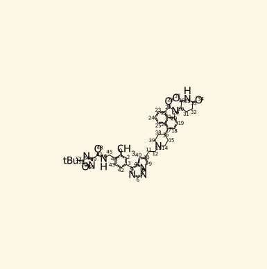 Cc1cc(-c2ncnn3cc(CCN4CCC(c5ccc6c7c(cccc57)C(=O)N6C5CCC(=O)NC5=O)CC4)cc23)ccc1CNC(=O)c1noc(C(C)(C)C)n1